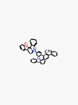 N#Cc1c(-c2ccccc2)cccc1-c1ccc(-n2c3ccccc3c3c4oc5ccccc5c4ccc32)cc1-n1c2ccccc2c2ccccc21